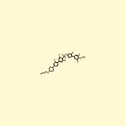 CCCCOC1CCC(c2ccc(-c3cc(F)c(C(F)(F)Oc4ccc(-c5cc(F)c(OCF)c(F)c5)c(F)c4)c(F)c3)c(F)c2)CC1